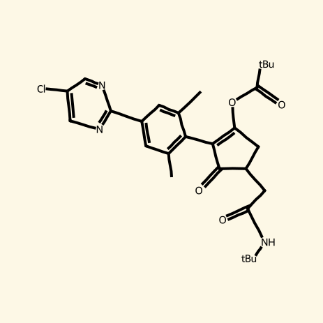 Cc1cc(-c2ncc(Cl)cn2)cc(C)c1C1=C(OC(=O)C(C)(C)C)CC(CC(=O)NC(C)(C)C)C1=O